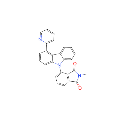 CN1C(=O)c2cccc(-n3c4ccccc4c4c(-c5ccccn5)cccc43)c2C1=O